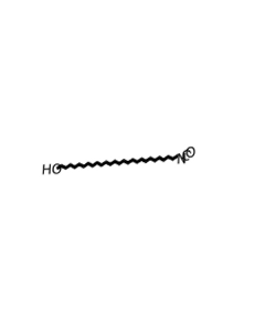 O=C=NCCCCCCCCCCCCCCCCCCCCCCCCCCCO